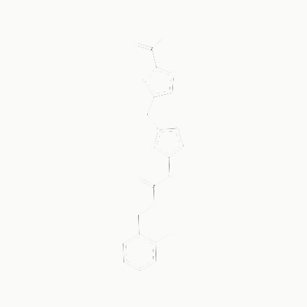 CC(=O)c1nc(Cn2ncc(NC(=O)OCc3ccccc3Cl)n2)co1